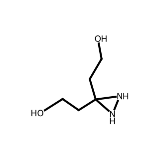 OCCC1(CCO)NN1